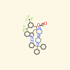 O=C=CN1CCN(N2CCN(C(c3ccccc3)(c3ccccc3)c3ccccc3)CC2)CC1(Cc1c[nH]c2ccccc12)C(=O)c1cc(C(F)(F)F)cc(C(F)(F)F)c1